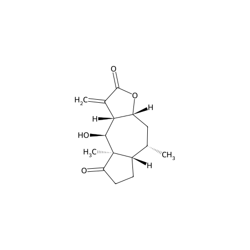 C=C1C(=O)O[C@@H]2C[C@H](C)[C@@H]3CCC(=O)[C@@]3(C)[C@@H](O)[C@H]12